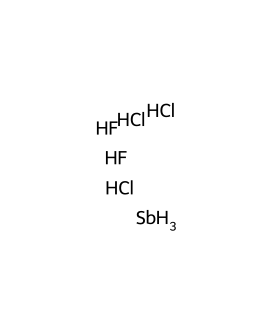 Cl.Cl.Cl.F.F.[SbH3]